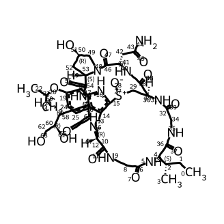 CC[C@H](C)[C@@H]1NC(=O)CNC(=O)[C@H]2Cc3c([nH]c4cc(OC(C)C)ccc34)[S+]([O-])C[C@H](NC(=O)CNC1=O)C(=O)N[C@@H](CC(N)=O)C(=O)N1C[C@H](O)C[C@H]1C(=O)N[C@@H]([C@@H](C)[C@@H](O)CO)C(=O)N2